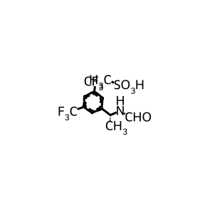 CS(=O)(=O)O.C[C@@H](NC=O)c1cc(C(F)(F)F)cc(C(F)(F)F)c1